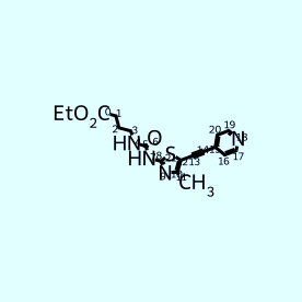 CCOC(=O)CCCNC(=O)Nc1nc(C)c(C#Cc2ccncc2)s1